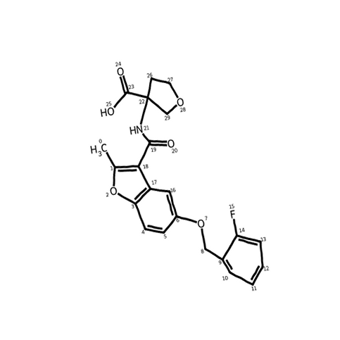 Cc1oc2ccc(OCc3ccccc3F)cc2c1C(=O)NC1(C(=O)O)CCOC1